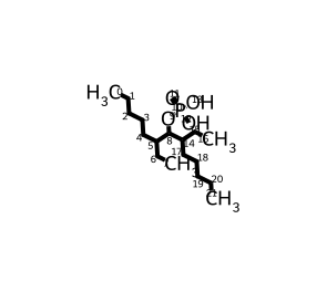 CCCCCC(CC)C(OP(=O)(O)O)C(CC)CCCCC